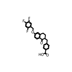 O=C(O)c1ccc(CC2CCc3cc(OCc4cc(F)c(F)cc4F)ccc3C2=O)cc1